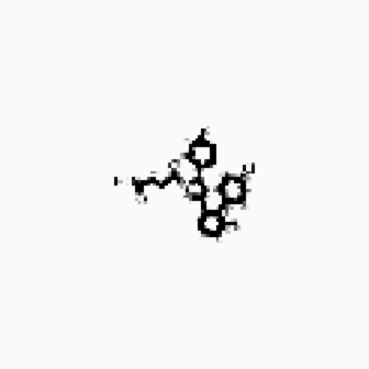 Cc1ccc([C@H]2CC(c3cccc(C)c3-c3ccc(Cl)cc3)=NN2C(=O)CCC(=O)O)cc1